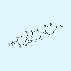 CCCC1CCC(C2CC[C@]3(CC2)C(=O)[C@@]2(CCC(CCC)CC2)[C@H]3F)CC1